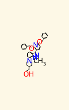 Cn1nc(-c2ccc(OCc3ccccc3)nc2OCc2ccccc2)c2cccc(N3CCC(CCO)CC3)c21